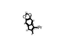 CC1=C(C(C)C)c2cc3c(cc2C1)OCO3